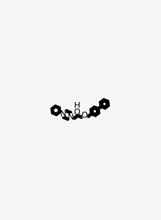 OC(COCc1ccc(-c2ccccc2)cc1)CN1CCN(C2CCCCC2)CC1